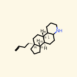 C=CCC[C@@]12CCC[C@H]1[C@@H]1CCC3NCCC[C@]3(C)[C@H]1CC2